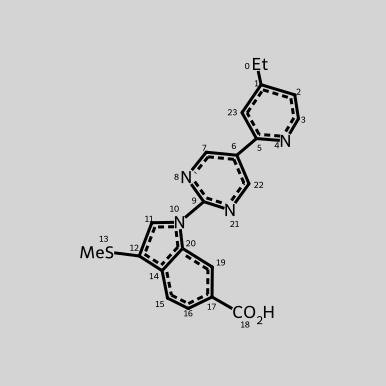 CCc1ccnc(-c2cnc(-n3cc(SC)c4ccc(C(=O)O)cc43)nc2)c1